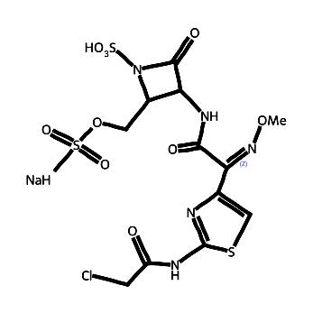 CO/N=C(\C(=O)NC1C(=O)N(S(=O)(=O)O)C1COS(C)(=O)=O)c1csc(NC(=O)CCl)n1.[NaH]